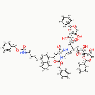 NC(=O)[C@H](CCc1ccc(CCCCNC(=O)OCc2ccccc2)c2ccccc12)N(CCCC(C[C@H](O)[C@@H](O)[C@@H]1OC(c2ccccc2)OC[C@H]1O)C[C@H](O)[C@@H](O)[C@@H]1OC(c2ccccc2)OC[C@H]1O)C(=O)OCc1ccccc1